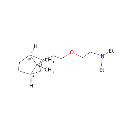 CCN(CC)CCOCCC1=C[C@H]2CC[C@@H]1C2(C)C